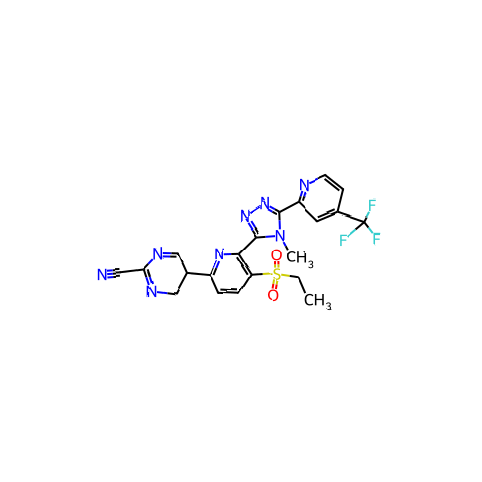 CCS(=O)(=O)c1ccc(C2C=NC(C#N)=NC2)nc1-c1nnc(-c2cc(C(F)(F)F)ccn2)n1C